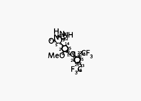 COc1cc(C2CC(=O)Nc3n[nH]cc32)ccc1COc1ccc(CC(F)(F)F)cc1CC(F)(F)F